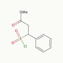 COC(=O)CC(c1ccccc1)S(=O)(=O)Cl